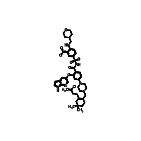 C=C(Cl)CCC1=C(CN2CCN(c3ccc(C(=O)NS(=O)(=O)c4ccc(NCC5CCOCC5)c([N+](=O)[O-])c4)c(Oc4cnc5[nH]ccc5c4)c3)CC2)CCC(C)(C)C1